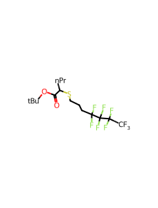 CCCC(SCCCC(F)(F)C(F)(F)C(F)(F)C(F)(F)F)C(=O)OC(C)(C)C